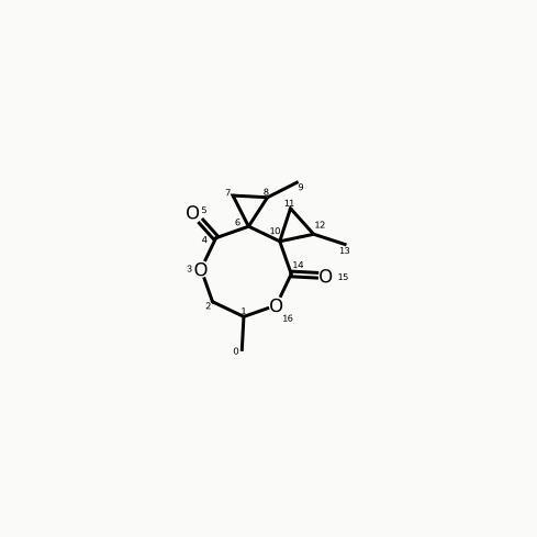 CC1COC(=O)C2(CC2C)C2(CC2C)C(=O)O1